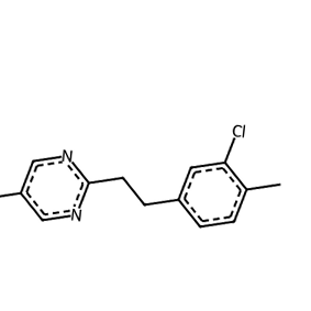 Cc1cnc(CCc2ccc(C)c(Cl)c2)nc1